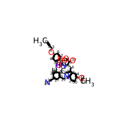 CC#CCOc1ccc(S(=O)(=O)N[C@@H](Cc2c(C)n(Cc3cccc(C#N)c3)c3ccc(OC)cc23)C(=O)O)cc1